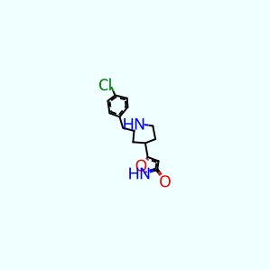 O=c1cc(C2CCNC(Cc3ccc(Cl)cc3)C2)o[nH]1